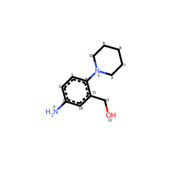 Nc1ccc(N2CCCCC2)c(CO)c1